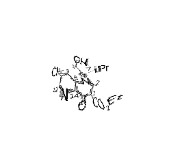 CCOC(=O)c1cn([C@H](CO)C(C)C)c2cc(Cl)cnc2c1=O